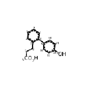 O=C(O)CCc1ccccc1-c1ccc(O)cc1